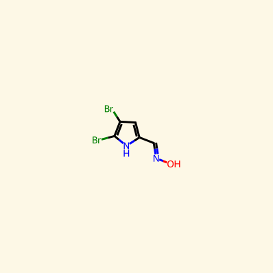 ON=Cc1cc(Br)c(Br)[nH]1